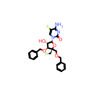 Nc1nc(=O)n([C@@H]2O[C@](CF)(COCc3ccccc3)[C@@H](OCc3ccccc3)[C@@H]2O)cc1F